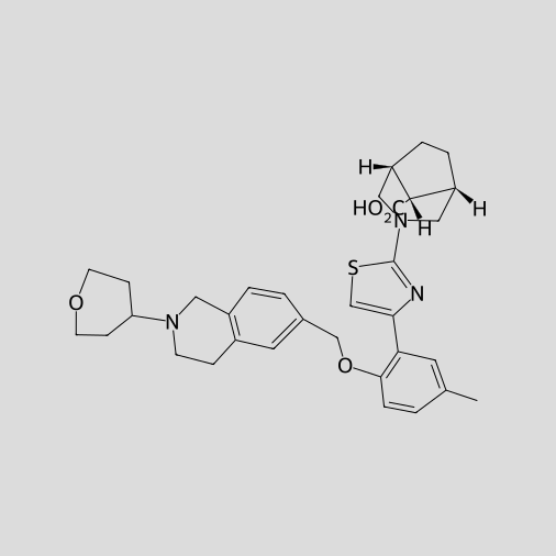 Cc1ccc(OCc2ccc3c(c2)CCN(C2CCOCC2)C3)c(-c2csc(N3C[C@H]4CC[C@@H](C3)[C@H]4C(=O)O)n2)c1